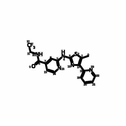 Cc1sc(Nc2cc(C(=O)NCC(F)(F)F)ccn2)nc1-c1ccccn1